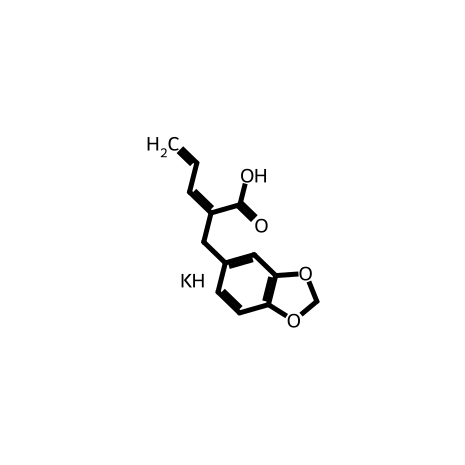 C=CC=C(Cc1ccc2c(c1)OCO2)C(=O)O.[KH]